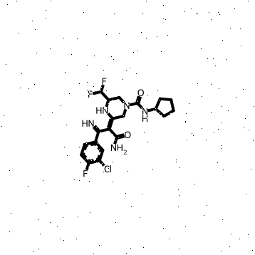 N=C(/C(C(N)=O)=C1/CN(C(=O)NC2CCCC2)CC(C(F)F)N1)c1ccc(F)c(Cl)c1